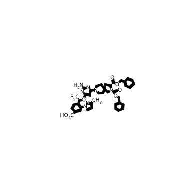 Cc1ccn(-c2cc(C(=O)O)ccc2[C@@H](Oc2cc(N3CCC4(CC3)C[C@@H](C(=O)OCc3ccccc3)N(C(=O)OCc3ccccc3)C4)nc(N)n2)C(F)(F)F)n1